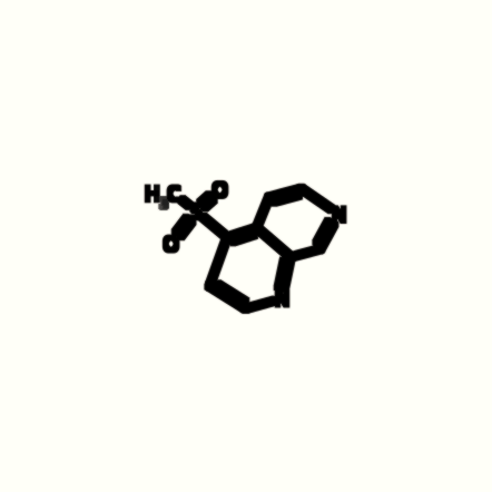 CS(=O)(=O)c1ccnc2cnccc12